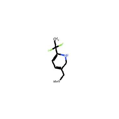 CSCC1=CC=C(C(C)(F)F)NC1